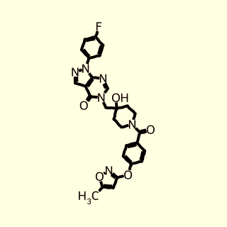 Cc1cc(Oc2ccc(C(=O)N3CCC(O)(Cn4cnc5c(cnn5-c5ccc(F)cc5)c4=O)CC3)cc2)no1